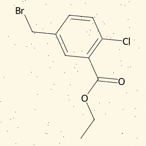 CCOC(=O)c1cc(CBr)ccc1Cl